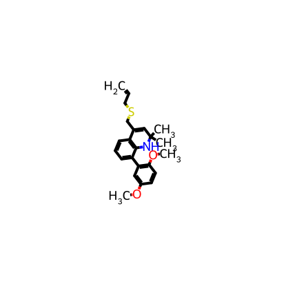 C=CCSCC1=CC(C)(C)Nc2c1cccc2-c1cc(OC)ccc1OC